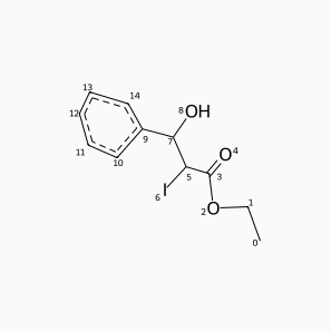 CCOC(=O)C(I)C(O)c1ccccc1